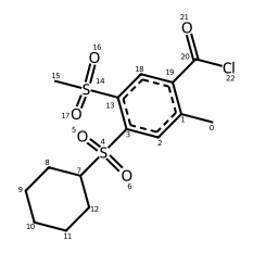 Cc1cc(S(=O)(=O)C2CCCCC2)c(S(C)(=O)=O)cc1C(=O)Cl